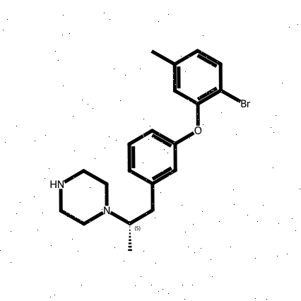 Cc1ccc(Br)c(Oc2cccc(C[C@H](C)N3CCNCC3)c2)c1